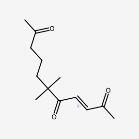 CC(=O)/C=C/C(=O)C(C)(C)CCCC(C)=O